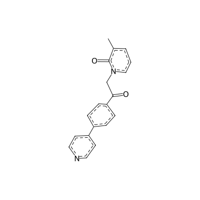 Cc1cccn(CC(=O)c2ccc(-c3ccncc3)cc2)c1=O